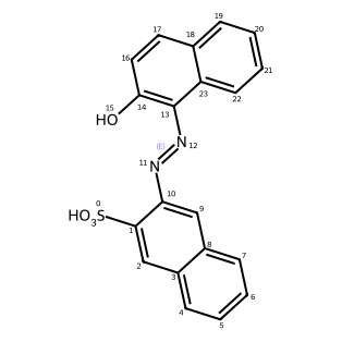 O=S(=O)(O)c1cc2ccccc2cc1/N=N/c1c(O)ccc2ccccc12